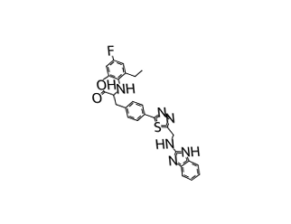 CCc1cc(F)cc(C)c1NC(Cc1ccc(-c2nnc(CNc3nc4ccccc4[nH]3)s2)cc1)C(=O)O